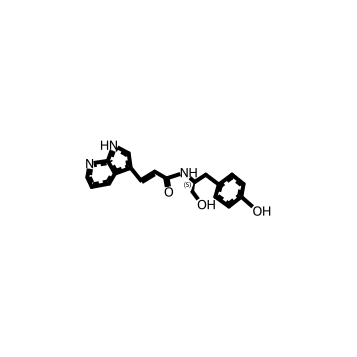 O=C(C=Cc1c[nH]c2ncccc12)N[C@H](CO)Cc1ccc(O)cc1